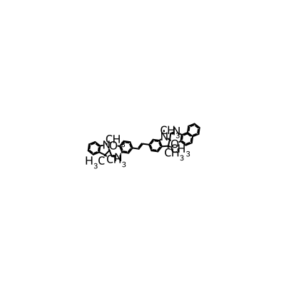 CN1c2ccccc2C(C)(C)C12C=Nc1cc(/C=C/c3ccc4c(c3)N(C)C3(C=Nc5c(ccc6ccccc56)O3)C4(C)C)ccc1O2